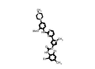 CCc1cc(C)cc(CC)c1NC(=O)Oc1cc(-c2ccnc(Nc3ccc(N4CCN(C)CC4)cc3OC)n2)n(C)c1